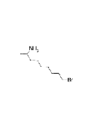 CC(N)CCCCCCCBr